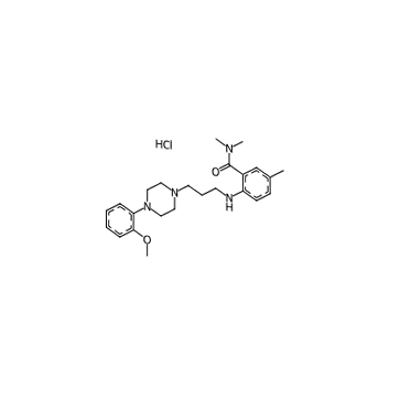 COc1ccccc1N1CCN(CCCNc2ccc(C)cc2C(=O)N(C)C)CC1.Cl